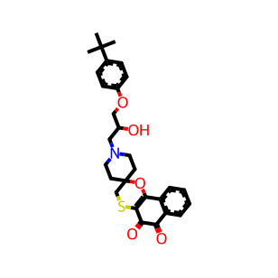 CC(C)(C)c1ccc(OCC(O)CN2CCC3(CC2)CSC2=C(O3)c3ccccc3C(=O)C2=O)cc1